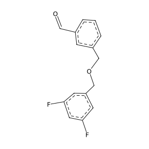 O=Cc1cccc(COCc2cc(F)cc(F)c2)c1